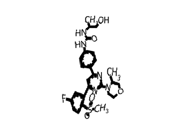 CC(CO)NC(=O)Nc1ccc(-c2cc(-c3cc(F)ccc3S(C)(=O)=O)nc(N3CCOCC3C)n2)cc1